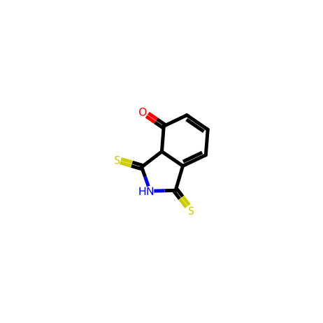 O=C1C=CC=C2C(=S)NC(=S)C12